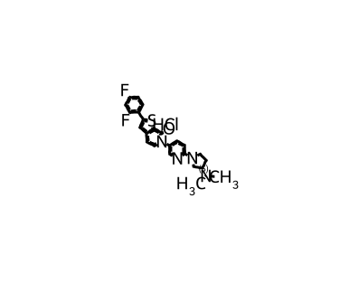 CN(C)[C@H]1CCN(c2ccc(-n3ccc4cc(-c5ccc(F)cc5F)sc4c3=O)cn2)C1.Cl